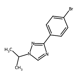 CC(C)n1cnc(-c2ccc(Br)cc2)n1